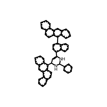 C1=C(c2ccc(-c3c4ccccc4cc4c3ccc3ccccc34)c3ccccc23)NC(c2ccccc2)NC1c1c2ccccc2cc2c1ccc1ccccc12